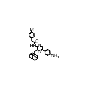 Nc1ccc(-c2cnc(NC(=O)Cc3ccc(Br)cc3)c(CC34CC5CC(CC(C5)C3)C4)n2)cc1